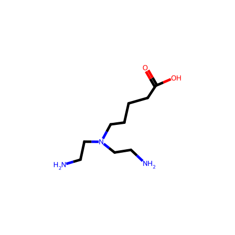 NCCN(CCN)CCCCC(=O)O